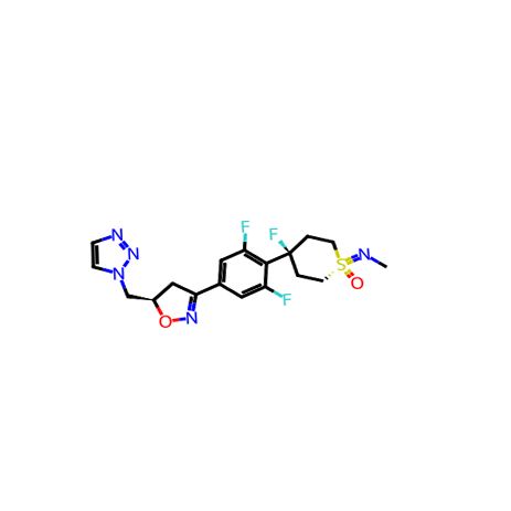 CN=[S@]1(=O)CC[C@](F)(c2c(F)cc(C3=NO[C@@H](Cn4ccnn4)C3)cc2F)CC1